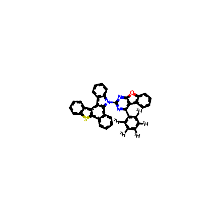 [2H]c1c([2H])c([2H])c(-c2nc(-n3c4ccccc4c4c5c6ccccc6sc5c5ccccc5c43)nc3oc4ccccc4c23)c([2H])c1[2H]